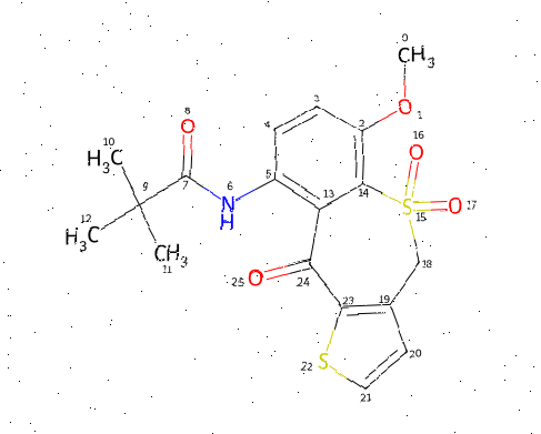 COc1ccc(NC(=O)C(C)(C)C)c2c1S(=O)(=O)Cc1ccsc1C2=O